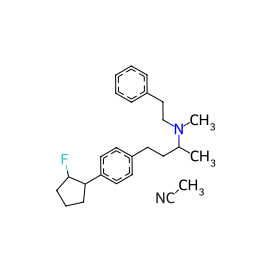 CC#N.CC(CCc1ccc(C2CCCC2F)cc1)N(C)CCc1ccccc1